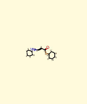 O=C(C=CNC1CCCCC1)SC1CCCCC1